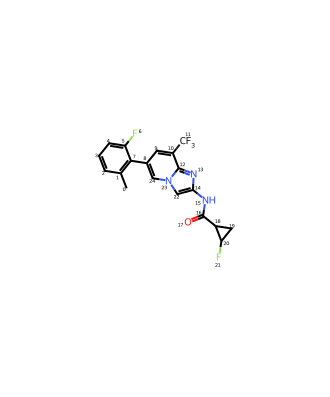 Cc1cccc(F)c1-c1cc(C(F)(F)F)c2nc(NC(=O)C3CC3F)cn2c1